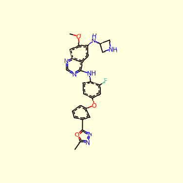 COc1cc2ncnc(Nc3ccc(Oc4cccc(-c5nnc(C)o5)c4)cc3F)c2cc1NC1CNC1